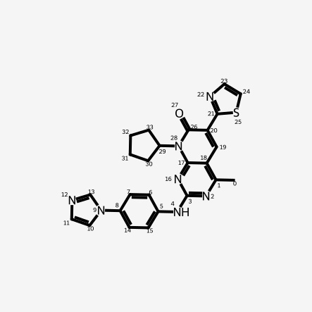 Cc1nc(Nc2ccc(-n3ccnc3)cc2)nc2c1cc(-c1nccs1)c(=O)n2C1CCCC1